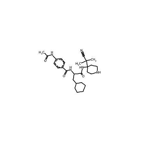 CC(=O)Nc1ccc(C(=O)NC(CC2CCCCC2)C(=O)NC2(C(C)(C)C#N)CCNCC2)cc1